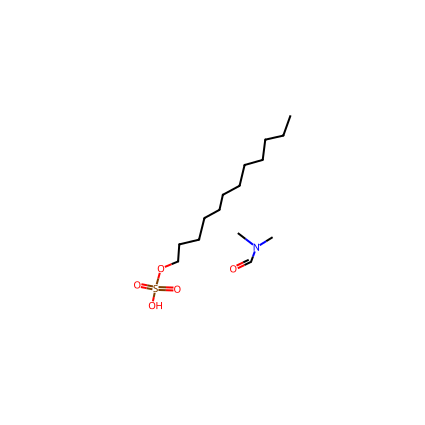 CCCCCCCCCCCCOS(=O)(=O)O.CN(C)C=O